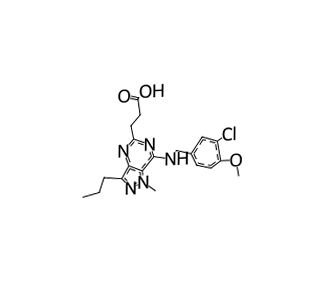 CCCc1nn(C)c2c(NCc3ccc(OC)c(Cl)c3)nc(CCC(=O)O)nc12